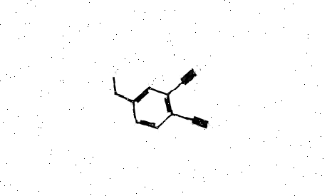 N#Cc1ccc(CO)cc1C#N